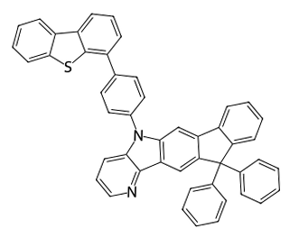 c1ccc(C2(c3ccccc3)c3ccccc3-c3cc4c(cc32)c2ncccc2n4-c2ccc(-c3cccc4c3sc3ccccc34)cc2)cc1